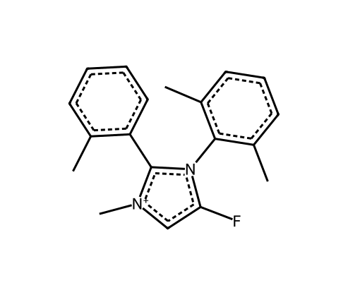 Cc1ccccc1-c1n(-c2c(C)cccc2C)c(F)c[n+]1C